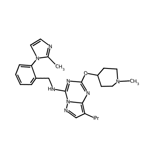 Cc1nccn1-c1ccccc1CNc1nc(OC2CCN(C)CC2)nc2c(C(C)C)cnn12